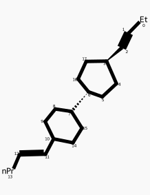 CCC#C[C@H]1CC[C@H](C2CCC(/C=C/CCC)CC2)CC1